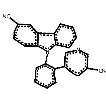 N#Cc1cncc(-c2ccccc2-n2c3ccccc3c3cc(C#N)ccc32)c1